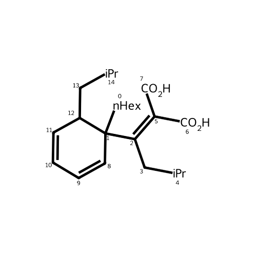 CCCCCCC1(C(CC(C)C)=C(C(=O)O)C(=O)O)C=CC=CC1CC(C)C